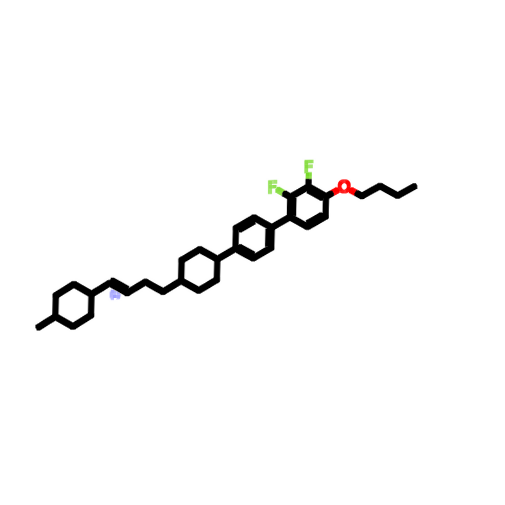 CCCCOc1ccc(-c2ccc(C3CCC(CC/C=C/C4CCC(C)CC4)CC3)cc2)c(F)c1F